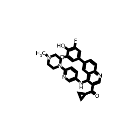 CN1CCN(c2ccc(Nc3c(C(=O)C4CC4)cnc4ccc(-c5cc(F)c(O)c(Cl)c5)cc34)cn2)CC1